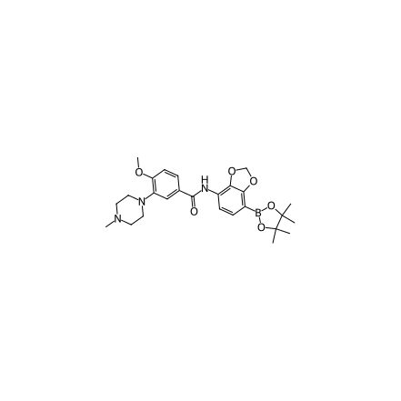 COc1ccc(C(=O)Nc2ccc(B3OC(C)(C)C(C)(C)O3)c3c2OCO3)cc1N1CCN(C)CC1